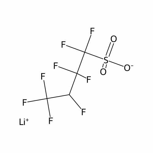 O=S(=O)([O-])C(F)(F)C(F)(F)C(F)C(F)(F)F.[Li+]